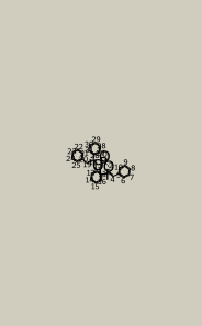 O=[PH](OC(=Cc1ccccc1)c1ccccc1)OC(=Cc1ccccc1)c1ccccc1